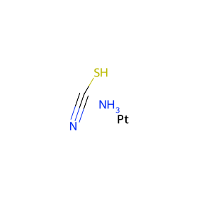 N.N#CS.[Pt]